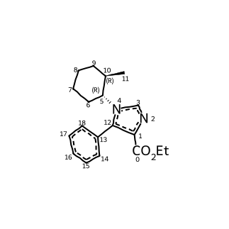 CCOC(=O)c1ncn([C@@H]2CCCC[C@H]2C)c1-c1ccccc1